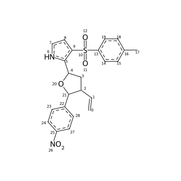 C=CC1CC(c2[nH]ccc2S(=O)(=O)c2ccc(C)cc2)OC1c1ccc([N+](=O)[O-])cc1